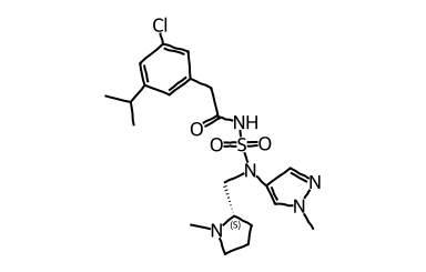 CC(C)c1cc(Cl)cc(CC(=O)NS(=O)(=O)N(C[C@@H]2CCCN2C)c2cnn(C)c2)c1